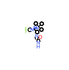 O=C1N(c2ccc3c(c2)c(N2CCC(F)(F)CC2)nn3C(c2ccccc2)(c2ccccc2)c2ccccc2)CC[C@]12CCNC2